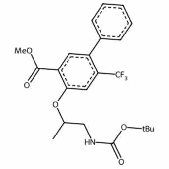 COC(=O)c1cc(-c2ccccc2)c(C(F)(F)F)cc1OC(C)CNC(=O)OC(C)(C)C